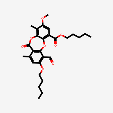 CCCCCOC(=O)c1cc(OC)c(C)c2c1Oc1c(C=O)c(OCCCCC)cc(C)c1C(=O)O2